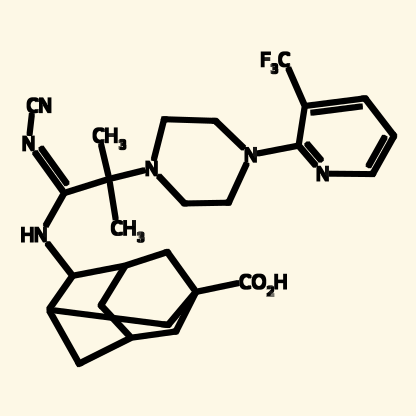 CC(C)(/C(=N\C#N)NC1C2CC3CC1CC(C(=O)O)(C3)C2)N1CCN(c2ncccc2C(F)(F)F)CC1